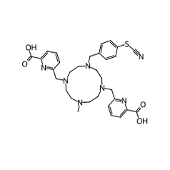 CN1CCN(Cc2cccc(C(=O)O)n2)CCN(Cc2ccc(SC#N)cc2)CCN(Cc2cccc(C(=O)O)n2)CC1